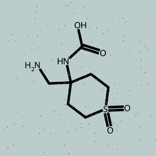 NCC1(NC(=O)O)CCS(=O)(=O)CC1